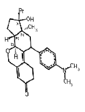 CC(C)[C@]1(O)CC[C@H]2[C@@H]3OCC4=CC(=O)CCC4=C3C(c3ccc(N(C)C)cc3)C[C@@]21C